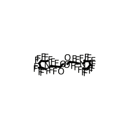 O=C(OOC(=O)C(F)(F)C(F)(F)N1C(F)(F)C(F)(F)C(F)(F)C(F)(F)C1(F)F)C(F)(F)C(F)(F)N1C(F)(F)C(F)(F)C(F)(F)C(F)(F)C1(F)F